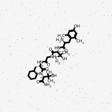 Cc1cc(O)cc(C)c1C[C@H](N)C(=O)N[C@@H](C(=O)NCC(=O)N[C@@H](CC1CCCCC1)C(=O)N[C@@H](C(N)=O)C(C)(C)S)C(C)(C)S